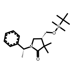 C[C@H](c1ccccc1)N1C[C@H](CO[Si](C)(C)C(C)(C)C)C(C)(C)C1=O